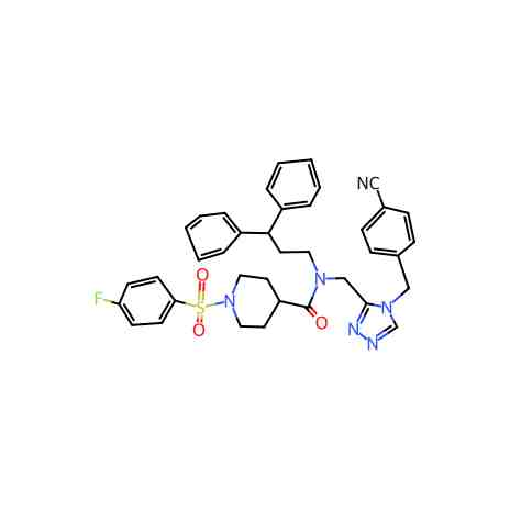 N#Cc1ccc(Cn2cnnc2CN(CCC(c2ccccc2)c2ccccc2)C(=O)C2CCN(S(=O)(=O)c3ccc(F)cc3)CC2)cc1